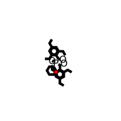 CCc1cc(CC)c(C(=O)P(=O)(C(=O)c2c(CC)cc(CC)cc2CC)C2CCCCC2)c(CC)c1